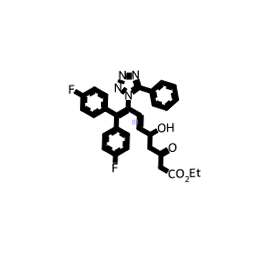 CCOC(=O)CC(=O)CC(O)/C=C/C(=C(c1ccc(F)cc1)c1ccc(F)cc1)n1nnnc1-c1ccccc1